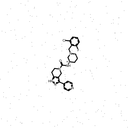 O=C(N[C@@H]1CCCN(Cc2c(F)cccc2Cl)C1)N1CCc2[nH]nc(-c3ccncc3)c2C1